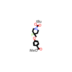 COC(=O)c1ccc(OCC2(F)CCN(C(=O)OC(C)(C)C)CC2)cc1